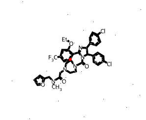 CCOc1cc(C(F)(F)F)ccc1C1=NC(c2ccc(Cl)cc2)C(c2ccc(Cl)cc2)N1C(=O)N1CCN(CC(=O)N(C)Cc2ccco2)CC1